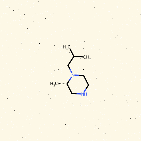 CC(C)CN1CCNC[C@@H]1C